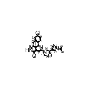 O=c1[nH]ncc2c(-c3ccc(Cl)cc3F)nc(N3CCOC(c4cnn(C5CC5)c4)C3)cc12